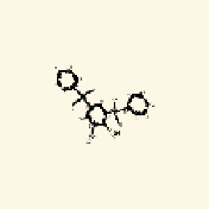 CC(C)(c1ccccc1)c1cc(Br)c(O)c(C(C)(C)c2ccccc2)c1